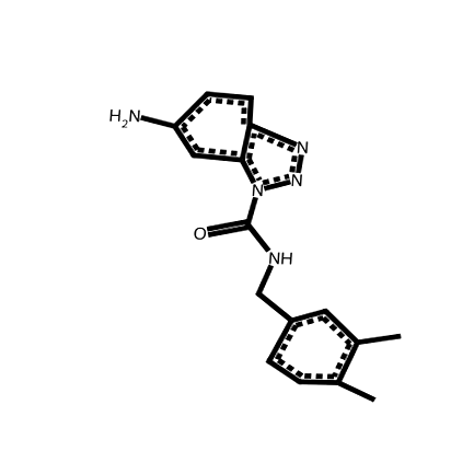 Cc1ccc(CNC(=O)n2nnc3ccc(N)cc32)cc1C